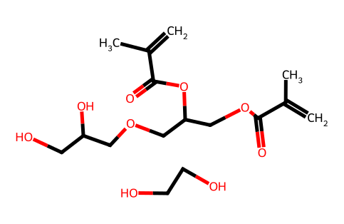 C=C(C)C(=O)OCC(COCC(O)CO)OC(=O)C(=C)C.OCCO